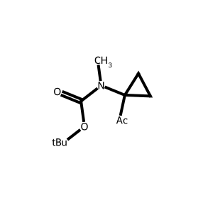 CC(=O)C1(N(C)C(=O)OC(C)(C)C)CC1